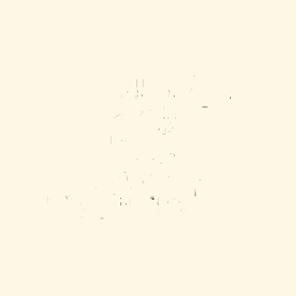 O=C1C(O)=C(c2c(C(=O)Nc3ccc(C(F)(F)F)cc3)[nH]c3ccccc23)C(=O)C(O)=C1c1c(C(=O)Nc2ccc(C(F)(F)F)cc2)[nH]c2ccccc12